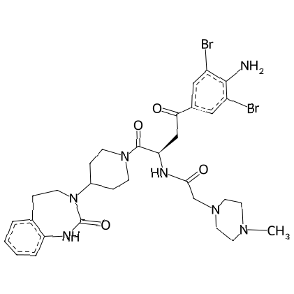 CN1CCN(CC(=O)N[C@H](CC(=O)c2cc(Br)c(N)c(Br)c2)C(=O)N2CCC(N3CCc4ccccc4NC3=O)CC2)CC1